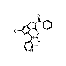 Cc1ncccc1-n1c(=O)nc2c3c(cc(Cl)cc31)CN2C(=O)c1ccccc1